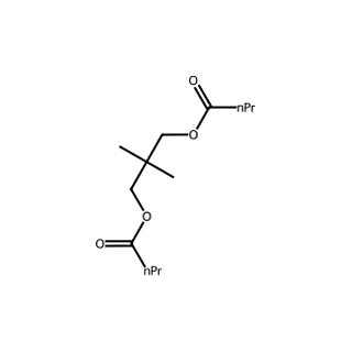 CCCC(=O)OCC(C)(C)COC(=O)CCC